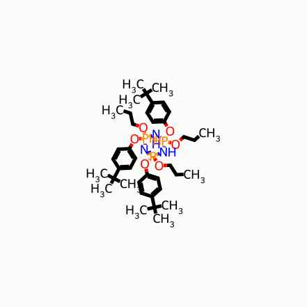 CCCOP1(Oc2ccc(C(C)(C)C)cc2)=N[PH](OCCC)(Oc2ccc(C(C)(C)C)cc2)N[PH](OCCC)(Oc2ccc(C(C)(C)C)cc2)N1